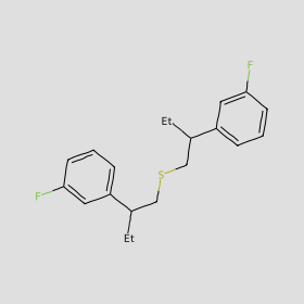 CCC(CSCC(CC)c1cccc(F)c1)c1cccc(F)c1